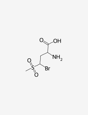 CS(=O)(=O)C(Br)CC(N)C(=O)O